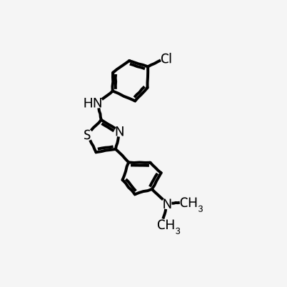 CN(C)c1ccc(-c2csc(Nc3ccc(Cl)cc3)n2)cc1